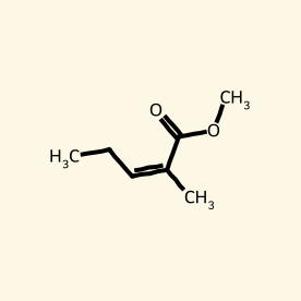 CCC=C(C)C(=O)OC